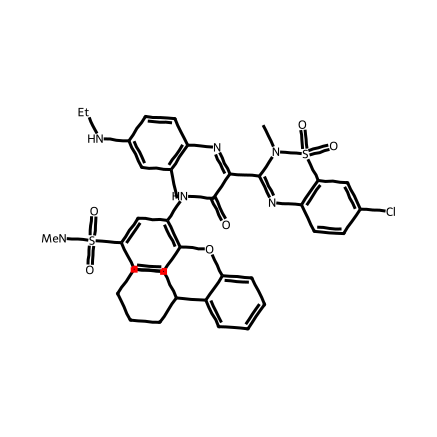 CCNc1ccc(/N=C(\C(=O)Nc2cc(S(=O)(=O)NC)ccc2Oc2ccccc2C2CCCCC2)C2=Nc3ccc(Cl)cc3S(=O)(=O)N2C)c(C)c1